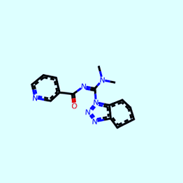 CN(C)/C(=N/C(=O)c1cccnc1)n1nnc2ccccc21